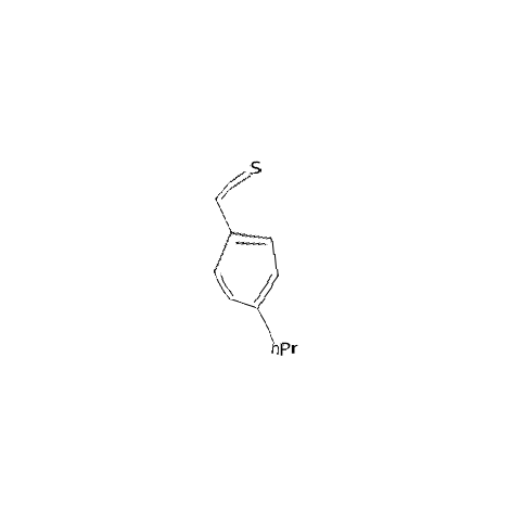 CCCc1ccc(C=S)cc1